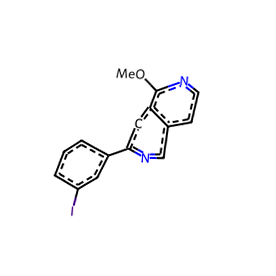 COc1nccc2cnc(-c3cccc(I)c3)cc12